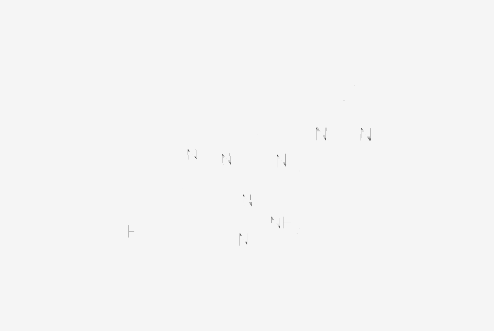 Nc1nccc(-c2c(-c3ccc(F)cc3)ncn2C2CCN(Cc3ccnc(C4CC4)n3)C2)n1